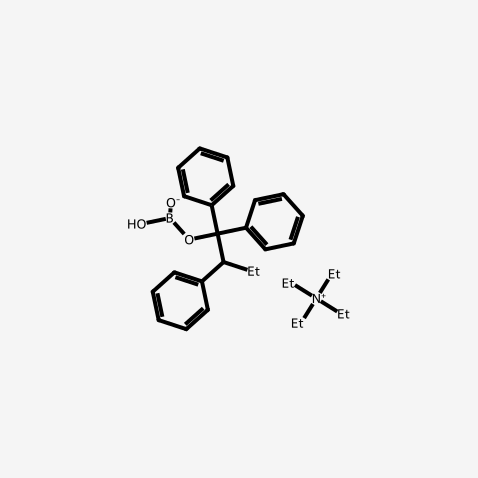 CCC(c1ccccc1)C(OB([O-])O)(c1ccccc1)c1ccccc1.CC[N+](CC)(CC)CC